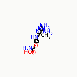 Cc1c(CNc2ccc(OCCC(N)C(=O)O)cc2)cnc2nc(N)nc(N)c12